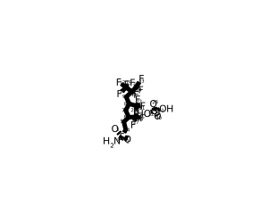 NS(=O)(=O)CCC(CC(CC(F)(C(F)(F)F)C(F)(F)F)C(F)(F)F)C(F)(F)F.O=S(=O)(O)O